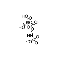 CCOc1c(NCCO[C@@H](OC(CCC(=O)O)[C@H](C)O)[C@H](O)CO)c(=O)c1=O